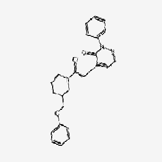 O=C(Cc1ccnn(-c2ccccc2)c1=O)N1CCCC(COc2ccccc2)C1